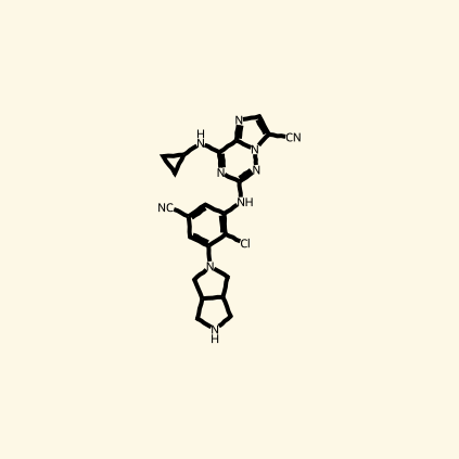 N#Cc1cc(Nc2nc(NC3CC3)c3ncc(C#N)n3n2)c(Cl)c(N2CC3CNCC3C2)c1